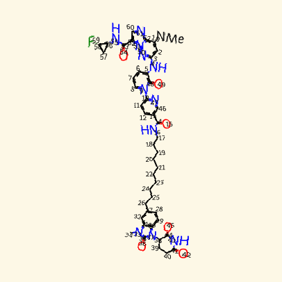 CNc1cc(Nc2cccn(-c3ccc(C(=O)NCCCCCCCCCCc4ccc5c(c4)n(C)c(=O)n5C4CCC(=O)NC4=O)cn3)c2=O)nn2c(C(=O)N[C@@H]3C[C@@H]3F)cnc12